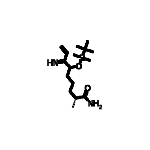 C=CC(=N)C(CCC[C@@H](C)C(N)=O)O[Si](C)(C)C(C)(C)C